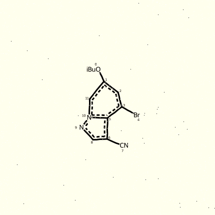 CC(C)COc1cc(Br)c2c(C#N)cnn2c1